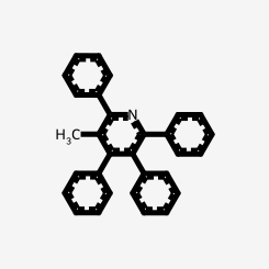 Cc1c(-c2ccccc2)nc(-c2ccccc2)c(-c2ccccc2)c1-c1ccccc1